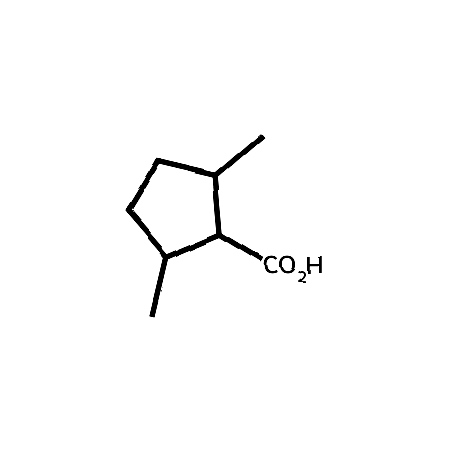 CC1CCC(C)C1C(=O)O